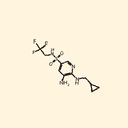 Nc1cc(S(=O)(=O)NCC(F)(F)F)cnc1NCC1CC1